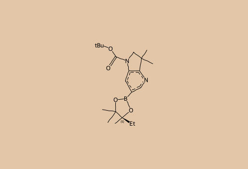 CC[C@]1(C)OB(c2cnc3c(c2)N(C(=O)OC(C)(C)C)CC3(C)C)OC1(C)C